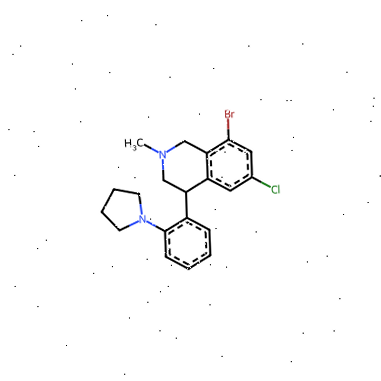 CN1Cc2c(Br)cc(Cl)cc2C(c2ccccc2N2CCCC2)C1